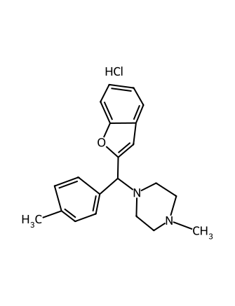 Cc1ccc(C(c2cc3ccccc3o2)N2CCN(C)CC2)cc1.Cl